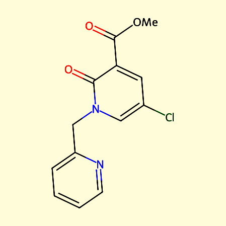 COC(=O)c1cc(Cl)cn(Cc2ccccn2)c1=O